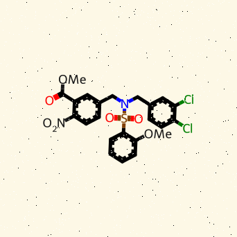 COC(=O)c1cc(CN(Cc2ccc(Cl)c(Cl)c2)S(=O)(=O)c2ccccc2OC)ccc1[N+](=O)[O-]